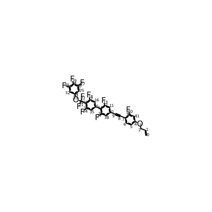 C=CCOc1ccc(C#Cc2cc(F)c(-c3cc(F)c(C(F)(F)Oc4cc(F)c(F)c(F)c4)c(F)c3)c(F)c2)c(F)c1